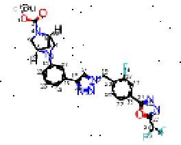 CC(C)(C)OC(=O)N1C[C@@H]2C[C@H]1CN2c1cccc(-c2cn(Cc3ccc(-c4nnc(C(F)F)o4)cc3F)nn2)c1